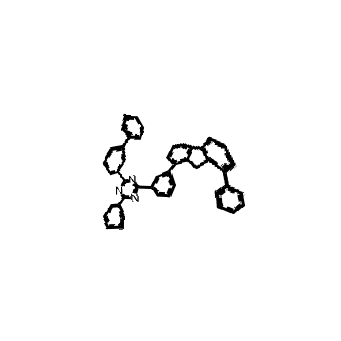 c1ccc(-c2cccc(-c3nc(-c4ccccc4)nc(-c4cccc(-c5cccc6c5Cc5c(-c7ccccc7)cccc5-6)c4)n3)c2)cc1